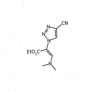 CCOC(=O)C(=CN(C)C)n1cc(C#N)nn1